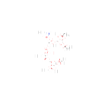 CN(C)C(=O)OCC(C)(COC(=O)OCC(C)(CO)C(=O)OCC1OC2OC(C)(C)OC2C2OC(C)(C)OC12)C(=O)OCC1OC2OC(C)(C)OC2C2OC(C)(C)OC12